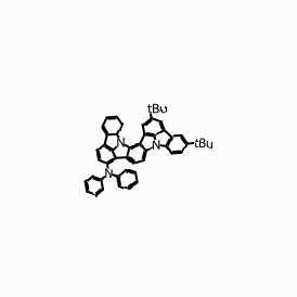 CC(C)(C)c1ccc2c(c1)c1cc(C(C)(C)C)cc3c4c5c(ccc4n2c13)c1c(N(c2ccccc2)c2ccccc2)ccc2c1n5C1CC=CC=C21